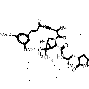 COc1cc(/C=C/C(=O)[N+]#CC(C(=O)N2C[C@H]3C([C@H]2C(=O)N[C@H](C#N)C[C@@H]2CCNC2=O)C3(C)C)C(C)(C)C)cc(OC)c1